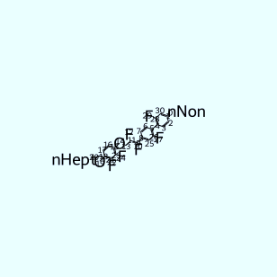 CCCCCCCCCc1ccc(-c2ccc(C(F)C(F)COc3ccc(OCCCCCCC)c(F)c3F)cc2F)c(F)c1